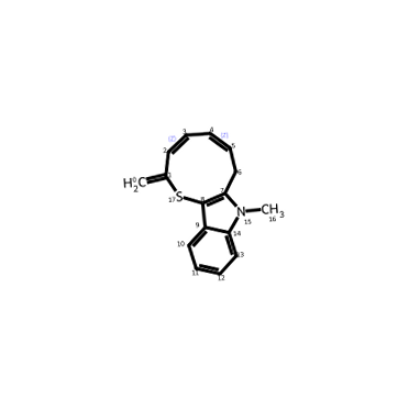 C=C1/C=C\C=C/Cc2c(c3ccccc3n2C)S1